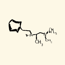 CC(CN(C)C)NCc1ccccc1